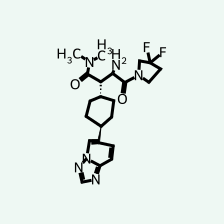 CN(C)C(=O)C(C(N)C(=O)N1CCC(F)(F)C1)[C@H]1CC[C@H](c2ccc3ncnn3c2)CC1